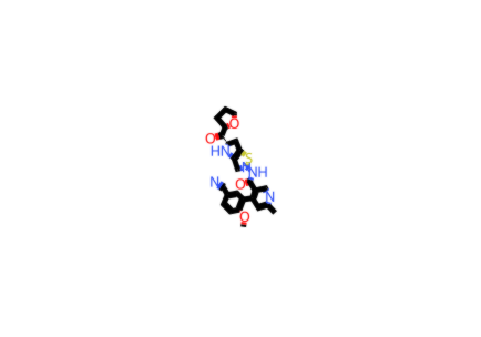 COc1ccc(C#N)cc1-c1cc(C)ncc1C(=O)NN1CC2=C(C[C@@H](C(=O)C3CCCO3)N2)S1